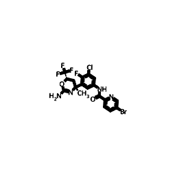 C[C@]1(c2cc(NC(=O)c3ccc(Br)cn3)cc(Cl)c2F)C[C@@H](C(F)(F)F)OC(N)=N1